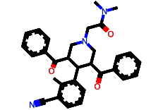 Cc1c(C#N)cccc1C1C(C(=O)c2ccccc2)CN(CC(=O)N(C)C)CC1C(=O)c1ccccc1